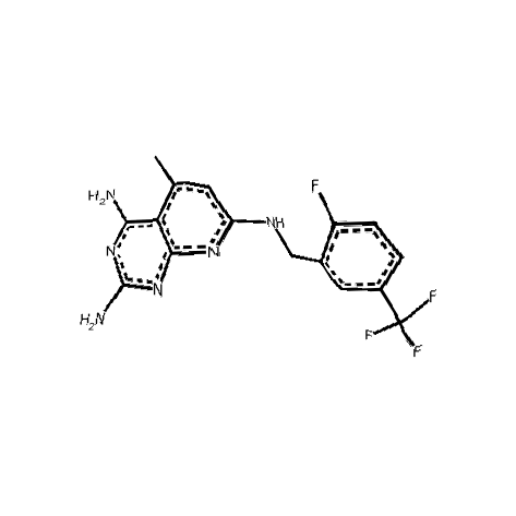 Cc1cc(NCc2cc(C(F)(F)F)ccc2F)nc2nc(N)nc(N)c12